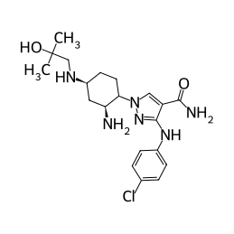 CC(C)(O)CN[C@H]1CCC(n2cc(C(N)=O)c(Nc3ccc(Cl)cc3)n2)[C@@H](N)C1